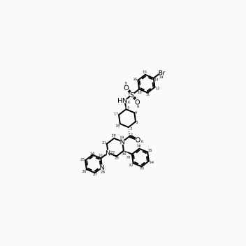 O=C([C@H]1CC[C@H](NS(=O)(=O)c2ccc(Br)cc2)CC1)N1CCN(c2ccccn2)C[C@@H]1c1ccccc1